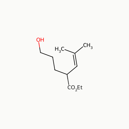 CCOC(=O)C(C=C(C)C)CCCO